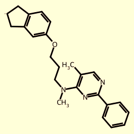 Cc1cnc(-c2ccccc2)nc1N(C)CCCOc1ccc2c(c1)C[CH]C2